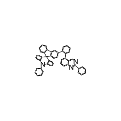 c1ccc(-c2ncc3c(-c4ccccc4-c4ccc5c(c4)-c4ccccc4C54c5ccccc5N(c5ccccc5)c5ccccc54)cccc3n2)cc1